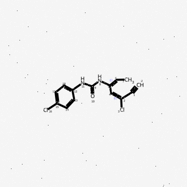 C#C/C(Cl)=C\C(=C/C)NC(=O)Nc1ccc(Cl)cc1